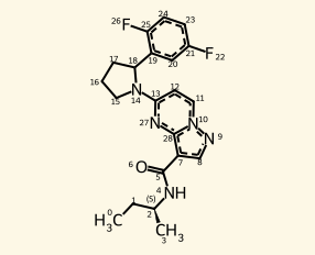 CC[C@H](C)NC(=O)c1cnn2ccc(N3CCCC3c3cc(F)ccc3F)nc12